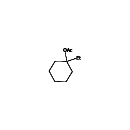 [CH2]C(=O)OC1(CC)CCCCC1